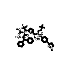 COC(=O)N(C(=O)[C@@H](N)C(c1ccccc1)c1ccccc1)[C@H](c1ccc([C@@H](CO)N(CCC(C)(C)C)S(=O)(=O)c2ccc(-c3ccn(C)n3)cc2)s1)C(F)(F)F